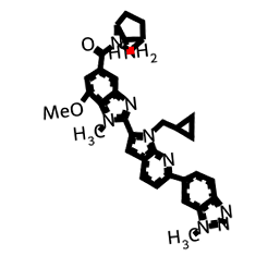 COc1cc(C(=O)N2CC3CCC2[C@@H]3N)cc2nc(-c3cc4ccc(-c5ccc6nnn(C)c6c5)nc4n3CC3CC3)n(C)c12